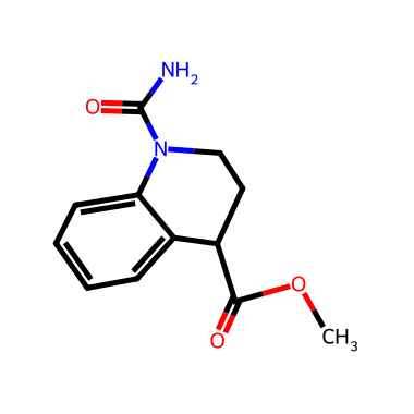 COC(=O)C1CCN(C(N)=O)c2ccccc21